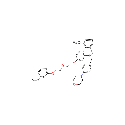 COc1cccc(CN(Cc2ccc(N3CCOCC3)cc2)c2cccc(OCCOCCOc3cccc(OC)c3)c2)c1